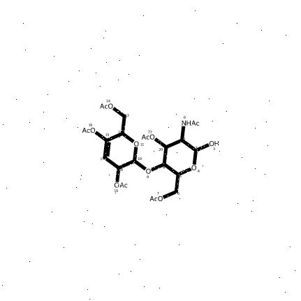 CC(=O)NC1C(O)OC(COC(C)=O)C(OC2OC(COC(C)=O)C(OC(C)=O)=CC2OC(C)=O)C1OC(C)=O